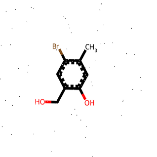 Cc1cc(O)c(CO)cc1Br